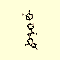 Cc1cn2cc(NC(=O)c3cnc([C@]45CCN[C@H](C4)C5)cn3)cc(F)c2n1